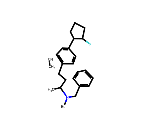 CC#N.CCN(Cc1ccccc1)C(C)CCc1ccc(C2CCCC2F)cc1